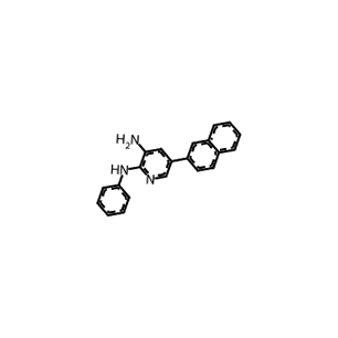 Nc1cc(-c2ccc3ccccc3c2)cnc1Nc1ccccc1